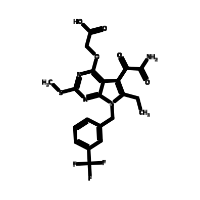 CCc1c(C(=O)C(N)=O)c2c(OCC(=O)O)nc(SC)nc2n1Cc1cccc(C(F)(F)F)c1